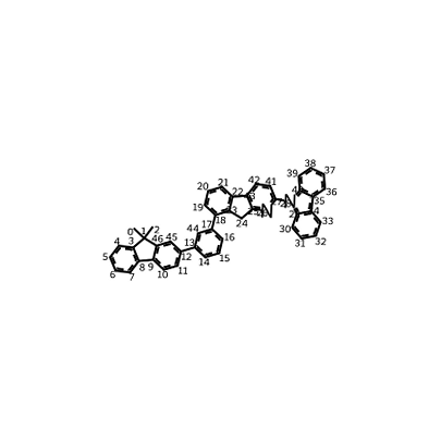 CC1(C)c2ccccc2-c2ccc(-c3cccc(-c4cccc5c4Cc4nc(-n6c7ccccc7c7ccccc76)ccc4-5)c3)cc21